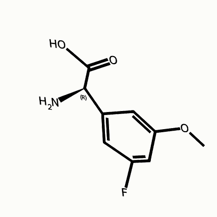 COc1cc(F)cc([C@@H](N)C(=O)O)c1